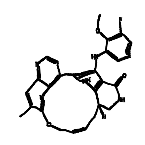 COc1c(F)cccc1Nc1c2[nH]c3c1C(=O)NC[C@@H]3C/C=C\COc1nc3c-2ccnc3cc1C